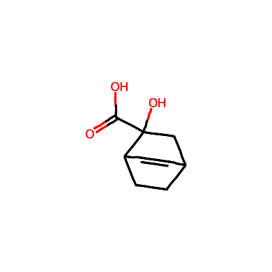 O=C(O)C1(O)CC2C=CC1CC2